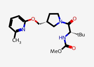 COC(=O)N[C@H](C(=O)N1CC[C@@H](COc2cccc(C)n2)C1)C(C)(C)C